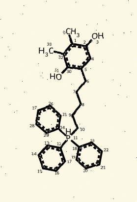 Cc1c(O)cc(CCCCC[PH](c2ccccc2)(c2ccccc2)c2ccccc2)c(O)c1C